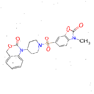 Cn1c(=O)oc2cc(S(=O)(=O)N3CCC(N4C(=O)OCc5ccccc54)CC3)ccc21